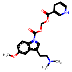 COc1ccc2c(c1)c(CCN(C)C)cn2C(=O)OCOC(=O)C1=CNC=CC1